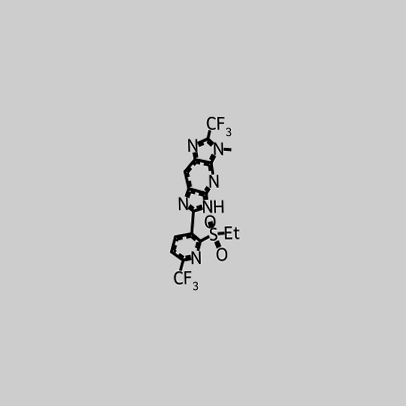 CCS(=O)(=O)c1nc(C(F)(F)F)ccc1-c1nc2cc3nc(C(F)(F)F)n(C)c3nc2[nH]1